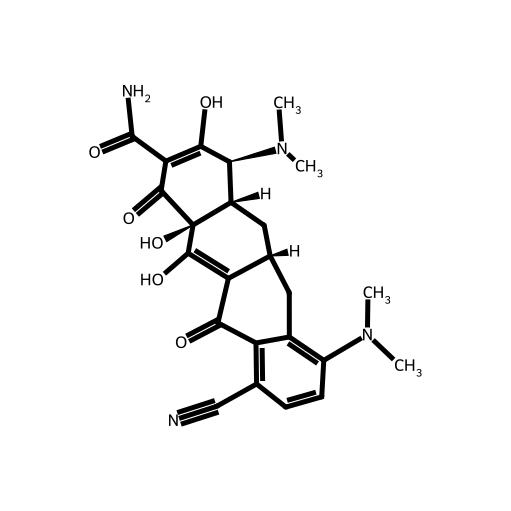 CN(C)c1ccc(C#N)c2c1C[C@H]1C[C@H]3[C@H](N(C)C)C(O)=C(C(N)=O)C(=O)[C@@]3(O)C(O)=C1C2=O